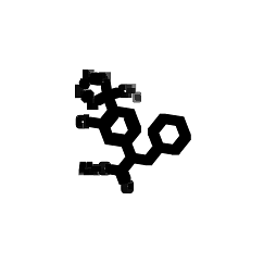 COC(=O)C(CC1CCCCC1)c1ccc(C2(C(F)(F)F)N=NN=N2)c(Cl)c1